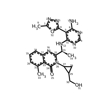 Cc1nnc(-c2c(N)ncnc2N[C@@H](C)c2nc3cccc(C)c3c(=O)n2C2CC2CO)o1